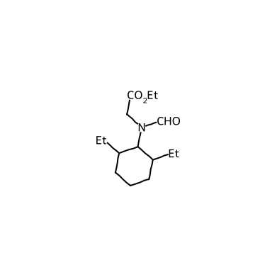 CCOC(=O)CN(C=O)C1C(CC)CCCC1CC